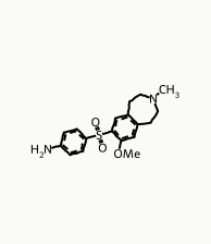 COc1cc2c(cc1S(=O)(=O)c1ccc(N)cc1)CCN(C)CC2